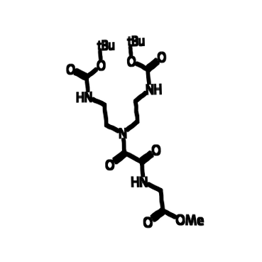 COC(=O)CNC(=O)C(=O)N(CCNC(=O)OC(C)(C)C)CCNC(=O)OC(C)(C)C